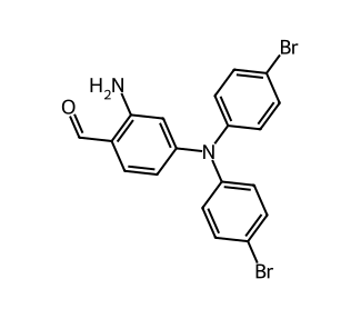 Nc1cc(N(c2ccc(Br)cc2)c2ccc(Br)cc2)ccc1C=O